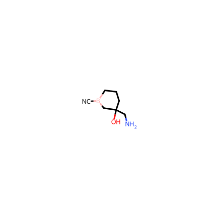 N#CB1CCCC(O)(CN)C1